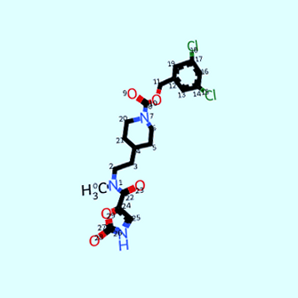 CN(CCC1CCN(C(=O)OCc2cc(Cl)cc(Cl)c2)CC1)C(=O)c1c[nH]c(=O)o1